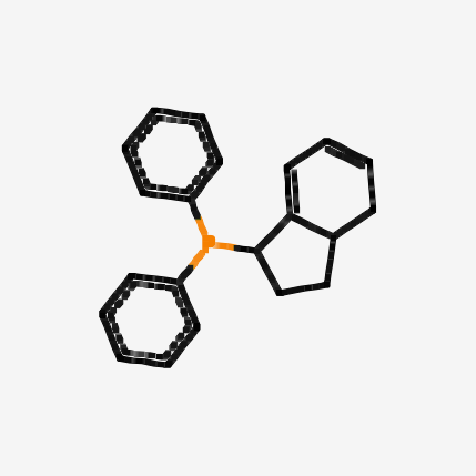 C1=CCC2CCC(P(c3ccccc3)c3ccccc3)C2=C1